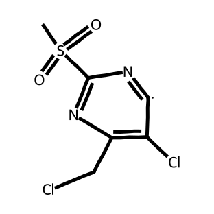 CS(=O)(=O)c1n[c]c(Cl)c(CCl)n1